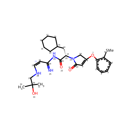 CSc1ccccc1OC1=CC(=O)N([C@@H](CC2CCCCC2)C(=O)NC(=N)/C=C\NCC(C)(C)O)C1